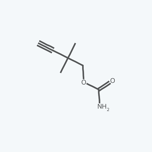 C#CC(C)(C)COC(N)=O